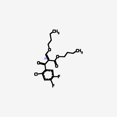 CCCCO/C=C(\C(=O)OCCCC)C(=O)c1cc(F)c(F)cc1Cl